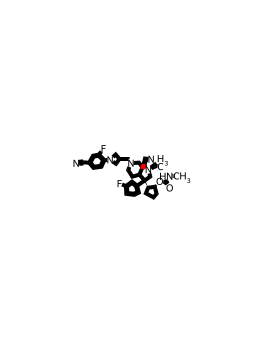 CNC(=O)O[C@H]1CCC[C@@H]1C(Cn1ccnc1C)(c1cccc(F)c1)C1CCN(CC2CN(c3ccc(C#N)cc3F)C2)CC1